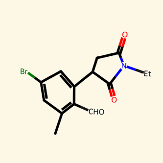 CCN1C(=O)CC(c2cc(Br)cc(C)c2C=O)C1=O